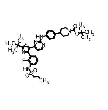 CCCS(=O)(=O)Nc1cccc(-c2nc(C(C)(C)C)sc2-c2ccnc(Nc3ccc(C4CCN(C(=O)OC(C)(C)C)CC4)cc3)n2)c1F